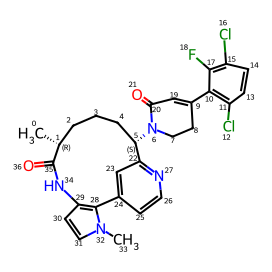 C[C@@H]1CCC[C@H](N2CCC(c3c(Cl)ccc(Cl)c3F)=CC2=O)c2cc(ccn2)-c2c(ccn2C)NC1=O